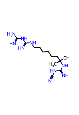 CC(C)(CCCCCCNC(=N)NC(=N)N)NC(=N)NC#N